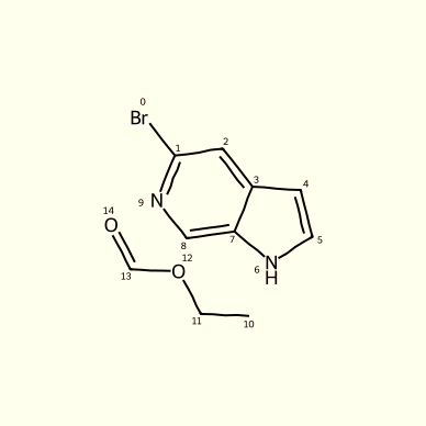 Brc1cc2cc[nH]c2cn1.CCOC=O